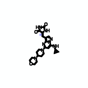 O=C1NC(=O)/C(=C/c2cnn3c(NC4CC4)cc(N4CCC(N5CCOCC5)CC4)nc23)N1